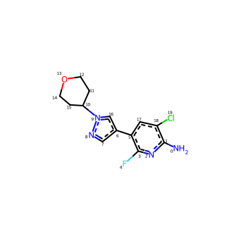 Nc1nc(F)c(-c2cnn(C3CCOCC3)c2)cc1Cl